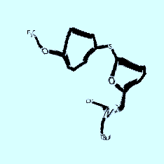 CC(C)(C)[N+]([O-])=Cc1ccc(Sc2ccc(OC(F)(F)F)cc2)o1